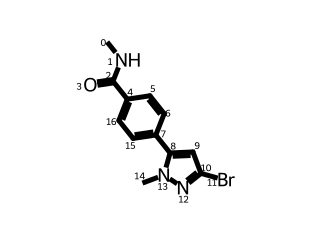 CNC(=O)c1ccc(-c2cc(Br)nn2C)cc1